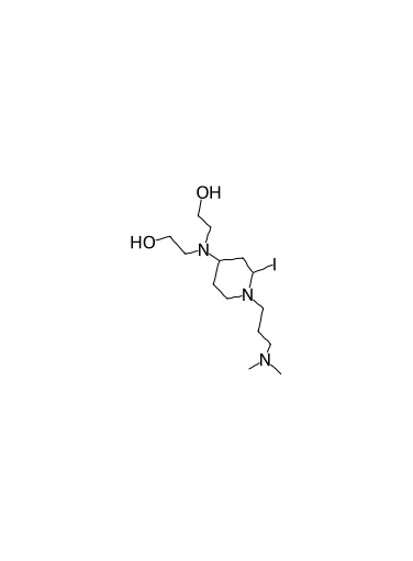 CN(C)CCCN1CCC(N(CCO)CCO)CC1I